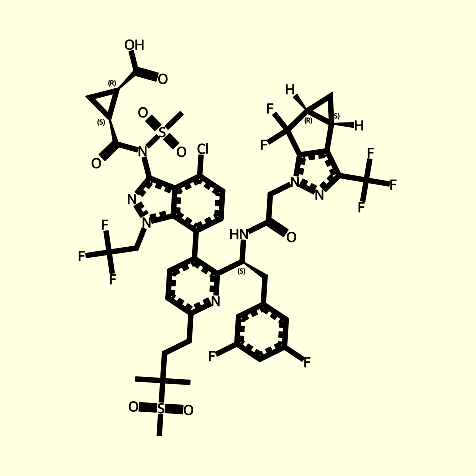 CC(C)(CCc1ccc(-c2ccc(Cl)c3c(N(C(=O)[C@H]4C[C@H]4C(=O)O)S(C)(=O)=O)nn(CC(F)(F)F)c23)c([C@H](Cc2cc(F)cc(F)c2)NC(=O)Cn2nc(C(F)(F)F)c3c2C(F)(F)[C@@H]2C[C@H]32)n1)S(C)(=O)=O